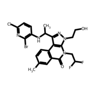 Cc1ccc2c(c1)c(=O)n(CC(F)F)c1c2c(C(C)Nc2ccc(Cl)nc2Br)nn1CCO